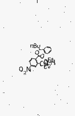 CCCCC(OC(=O)c1ccc([N+](=O)[O-])cc1C(=O)O)c1ccccc1.CCOCC